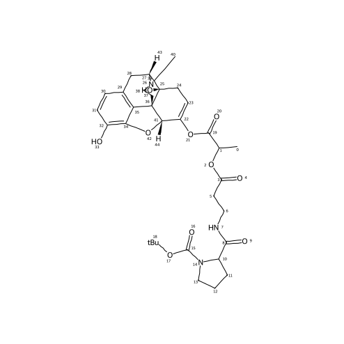 CC(OC(=O)CCNC(=O)C1CCCN1C(=O)OC(C)(C)C)C(=O)OC1=CC[C@@]2(O)[C@H]3Cc4ccc(O)c5c4[C@@]2(CCN3C)[C@H]1O5